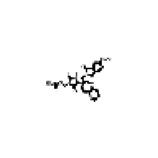 COc1ccc2c(c1)C(=O)N(CC1([C@@H]3NC(=O)N(COC(=O)C(C)(C)C)C3=O)C=Cc3ncccc3OC1)C2